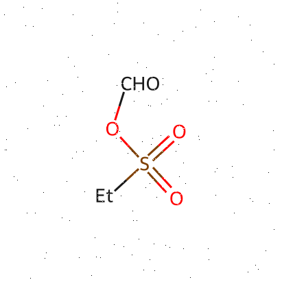 CCS(=O)(=O)OC=O